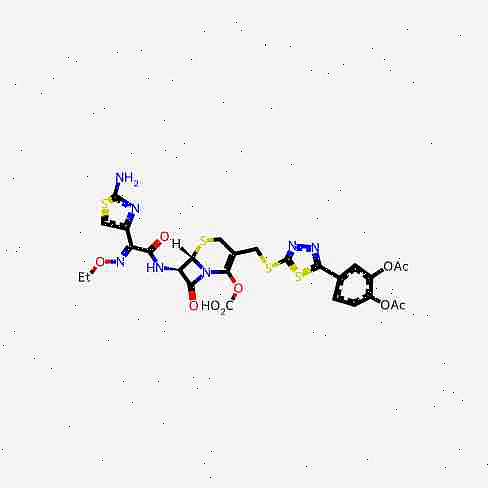 CCON=C(C(=O)N[C@@H]1C(=O)N2C(OC(=O)O)=C(CSc3nnc(-c4ccc(OC(C)=O)c(OC(C)=O)c4)s3)CS[C@@H]12)c1csc(N)n1